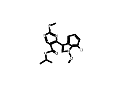 COn1cc(-c2nc(SC)ncc2C(=O)OC(C)C)c2cccc(Cl)c21